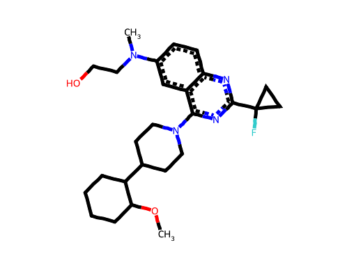 COC1CCCCC1C1CCN(c2nc(C3(F)CC3)nc3ccc(N(C)CCO)cc23)CC1